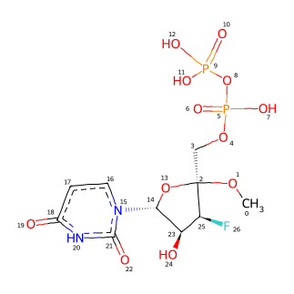 CO[C@]1(COP(=O)(O)OP(=O)(O)O)O[C@@H](n2ccc(=O)[nH]c2=O)[C@H](O)[C@@H]1F